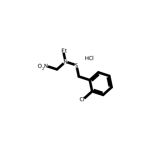 CCN(C[N+](=O)[O-])SCc1ccccc1Cl.Cl